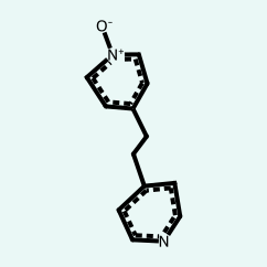 [O-][n+]1ccc(CCc2ccncc2)cc1